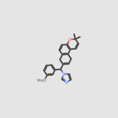 COc1cccc(C(C2=CCc3c(ccc4c3C=CC(C)(C)O4)C2)n2ccnc2)c1